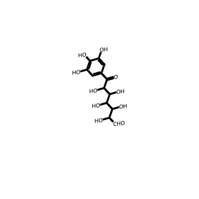 O=CC(O)C(O)C(O)C(O)C(O)C(=O)c1cc(O)c(O)c(O)c1